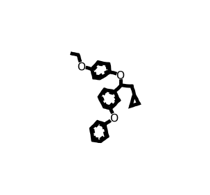 CCOc1ccc(OC(CC2CC2)c2cccc(Oc3ccccc3)c2)cc1